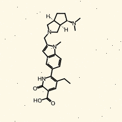 CCc1cc(C(=O)O)c(=O)[nH]c1-c1ccc2c(c1)cc(CN1C[C@H]3CC[C@@H](N(C)C)[C@H]3C1)n2C